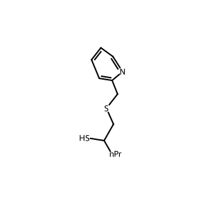 CCCC(S)CSCc1ccccn1